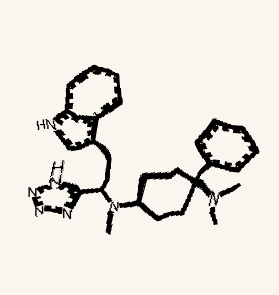 CN(C1CCC(c2ccccc2)(N(C)C)CC1)C(Cc1c[nH]c2ccccc12)c1nnn[nH]1